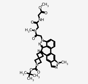 COC(=O)CNC(=O)CN(C)C(=O)Cn1nc(C2CC3(C2)CN(C(=O)OC(C)(C)C)C3)c2c(-c3cc4c(cnn4C)cc3C#N)cccc21